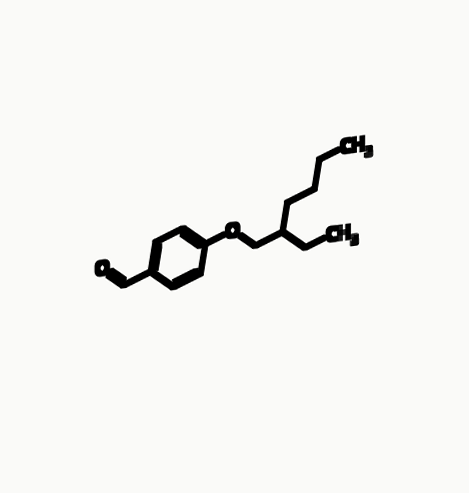 CCCCC(CC)COc1ccc(C=O)cc1